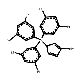 CCCC1=C[C]([Si](c2cc(CC)cc(CC)c2)(c2cc(CC)cc(CC)c2)c2cc(CC)cc(CC)c2)C=C1